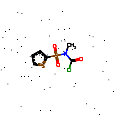 CN(C(=O)Cl)S(=O)(=O)c1cccs1